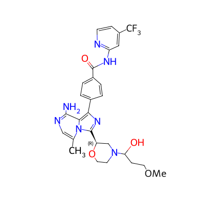 COCCC(O)N1CCO[C@@H](c2nc(-c3ccc(C(=O)Nc4cc(C(F)(F)F)ccn4)cc3)c3c(N)ncc(C)n23)C1